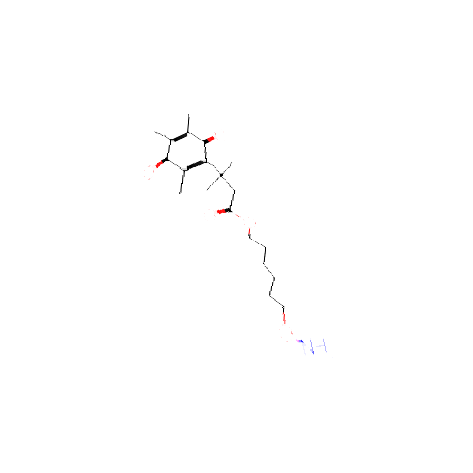 CC1=C(C)C(=O)C(C(C)(C)CC(=O)OCCCCCCON)=C(C)C1=O